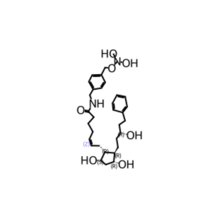 O=C(CCC/C=C\C[C@@H]1[C@@H](CC[C@@H](O)CCc2ccccc2)[C@H](O)C[C@@H]1O)NCc1ccc(CON(O)O)cc1